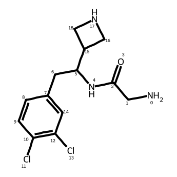 NCC(=O)NC(Cc1ccc(Cl)c(Cl)c1)C1CNC1